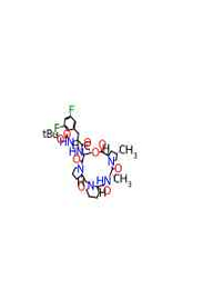 C[C@H]1C[C@H]2C(=O)O[C@@H](C)[C@H](NC(=O)C(Cc3cc(F)cc(F)c3)NC(=O)OC(C)(C)C)C(=O)N3CCC[C@H]3C(=O)N3CCCC[C@H]3C(=O)N[C@@H](C)C(=O)N2C1